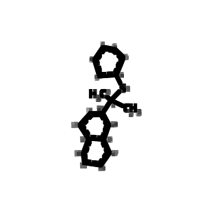 CC(C)(Sc1ccccc1)c1ccc2ccccc2c1